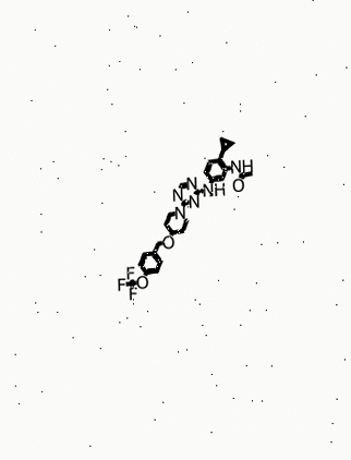 CC(=O)Nc1cc(Nc2ncnc(N3CCC(OCc4ccc(OC(F)(F)F)cc4)CC3)n2)ccc1C1CC1